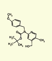 COc1ccc(CN(C(=O)OC(C)(C)C)c2cc(CO)c(C)cn2)cc1